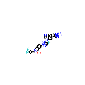 C=C(/C=C\C(=C/C)Nc1nc(-c2ccc3c(c2)C(=O)N(CC2CC(F)(F)C2)C3)ncc1F)c1cn[nH]c1